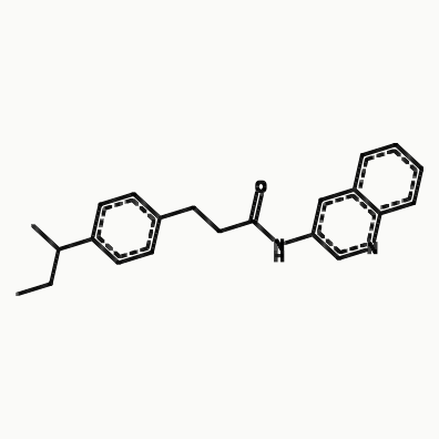 CCC(C)c1ccc(CCC(=O)Nc2cnc3ccccc3c2)cc1